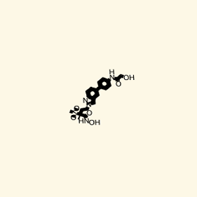 C[C@@](CCn1cc2cc(-c3ccc(NC(=O)CO)cc3)ccc2n1)(C(=O)NO)S(C)(=O)=O